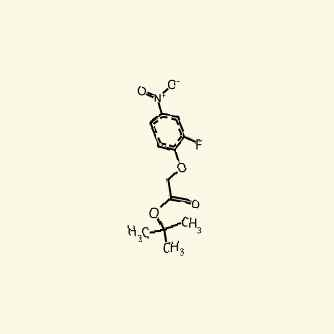 CC(C)(C)OC(=O)COc1ccc([N+](=O)[O-])cc1F